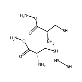 NOC(=O)[C@@H](N)CS.NOC(=O)[C@@H](N)CS.SS